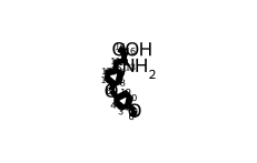 COc1ccc(Oc2ccc(C[C@H](N)C(=O)O)cc2)cc1